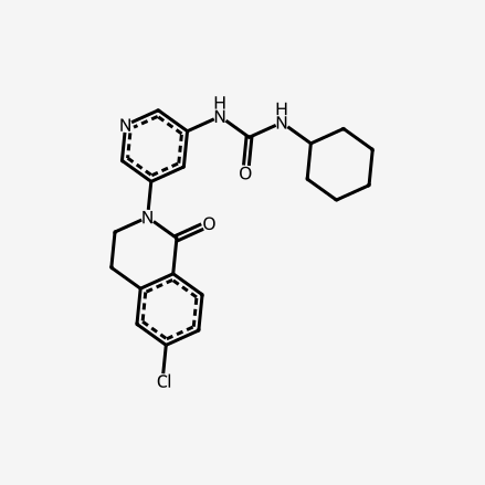 O=C(Nc1cncc(N2CCc3cc(Cl)ccc3C2=O)c1)NC1CCCCC1